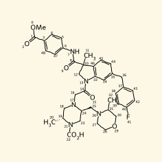 COC(=O)c1ccc(NC(=O)C2(C)CN(C(=O)CN3C[C@@H](C)N(C(=O)O)C[C@@H]3CN3CCOCC3C)c3cc(Cc4ccc(F)cc4)ccc32)cc1